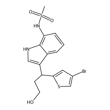 CS(=O)(=O)Nc1cccc2c(C(CCO)c3cc(Br)cs3)c[nH]c12